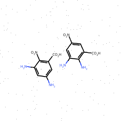 Nc1cc(N)c([N+](=O)[O-])c(C(=O)O)c1.Nc1cc([N+](=O)[O-])cc(C(=O)O)c1N